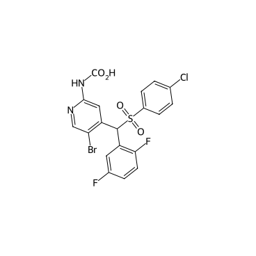 O=C(O)Nc1cc(C(c2cc(F)ccc2F)S(=O)(=O)c2ccc(Cl)cc2)c(Br)cn1